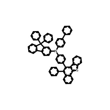 c1ccc(-c2ccc(N(c3ccc(-c4c(-c5ccccc5)c5ccccc5c5sc6ccccc6c45)cc3)c3ccc4c(c3)C(c3ccccc3)(c3ccccc3)c3ccccc3-4)cc2)cc1